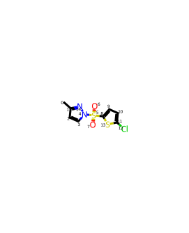 Cc1ccn(S(=O)(=O)c2ccc(Cl)s2)n1